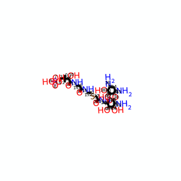 CC(C)(COP(=O)(O)O)[C@@H](O)C(=O)NCCC(=O)NCCSCC(=O)NC[C@H]1O[C@H](OC2[C@@H](N)C[C@@H](N)[C@H](O)[C@H]2O)[C@H](N)[C@@H](O)[C@@H]1O